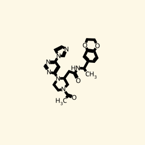 CC(=O)N1CCN(c2cc(-n3ccnc3)ncn2)C(CC(=O)NC(C)c2ccc3c(c2)OCCO3)C1